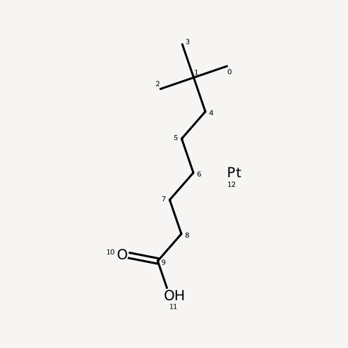 CC(C)(C)CCCCCC(=O)O.[Pt]